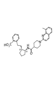 Cc1cccc2ccc(N3CCC(C(=O)N[C@H]4CCC[C@H]4CCc4ccccc4C(=O)O)CC3)nc12